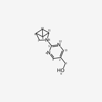 OCc1cnc(N2CC3C4C3C42)nc1